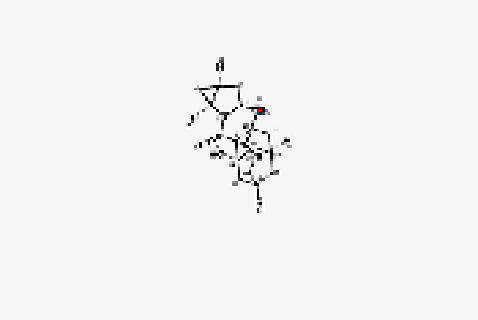 N#C[C@@H]1C[C@@H]2C[C@@H]2N1C(=O)C1NC[C@@H]2C[C@@H]3C[C@H]1C[C@](O)(C2)C3